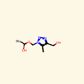 Cc1c(CO)nnn1COC(O)C(C)(C)C